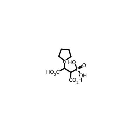 O=C(O)C(C(C(=O)O)P(=O)(O)O)N1CCCC1